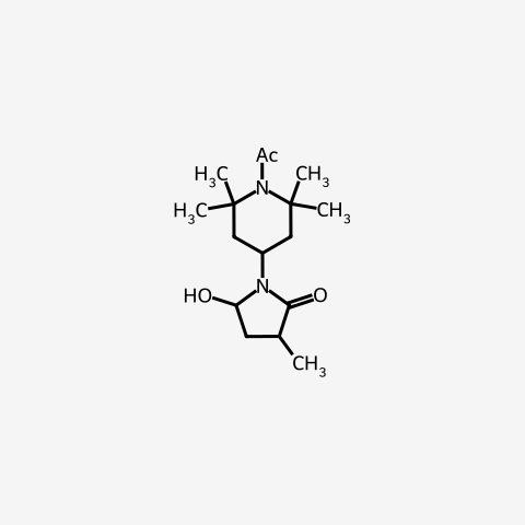 CC(=O)N1C(C)(C)CC(N2C(=O)C(C)CC2O)CC1(C)C